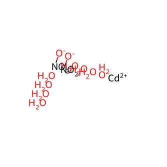 O.O.O.O.O.O.O.O.O=[N+]([O-])[O-].O=[N+]([O-])[O-].[Cd+2]